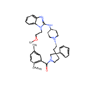 CCOCCn1c(NC2CCN(CCC3(c4ccccc4)CCN(C(=O)c4cc(C#N)ccc4OC)C3)CC2)nc2ccccc21